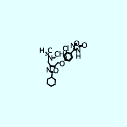 CCN(CC)Cc1nc(C2CCCCC2)oc1COc1ccc(-c2noc(=O)[nH]2)c(Cl)c1